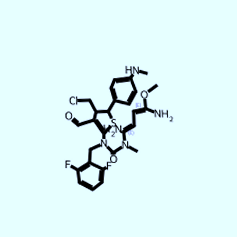 CNc1ccc(C2SC(N(Cc3c(F)cccc3F)C(=O)N(C)/C(N)=C/C=C(\N)OC)=C(C=O)C2CCl)cc1